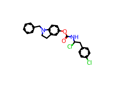 O=C(NC(Cl)Cc1ccc(Cl)cc1)Oc1ccc2c(c1)CCN2Cc1ccccc1